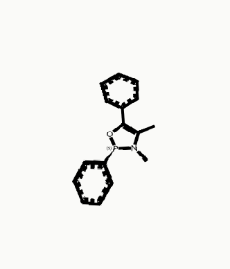 CC1=C(c2ccccc2)O[P@](c2ccccc2)N1C